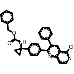 O=C(NC1(c2ccc(-c3nc4ccnc(Cl)c4cc3-c3ccccc3)cc2)CC1)OCc1ccccc1